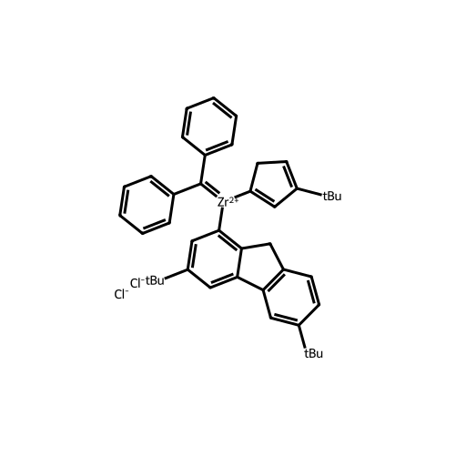 CC(C)(C)C1=CC[C]([Zr+2](=[C](c2ccccc2)c2ccccc2)[c]2cc(C(C)(C)C)cc3c2Cc2ccc(C(C)(C)C)cc2-3)=C1.[Cl-].[Cl-]